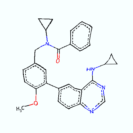 COc1ccc(CN(C(=O)c2ccccc2)C2CC2)cc1-c1ccc2ncnc(NC3CC3)c2c1